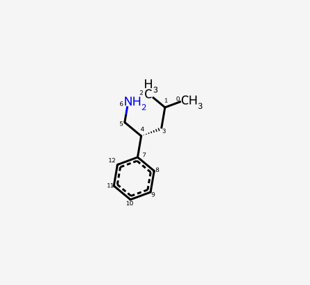 CC(C)C[C@@H](CN)c1ccccc1